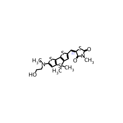 CN1C(=O)S/C(=C/c2cc3c(s2)-c2sc(N(C)CCO)cc2[Si]3(C)C)C1=O